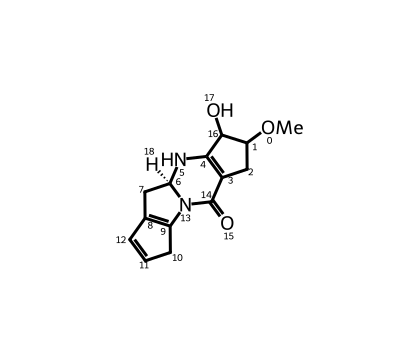 COC1CC2=C(N[C@@H]3CC4=C(CC=C4)N3C2=O)C1O